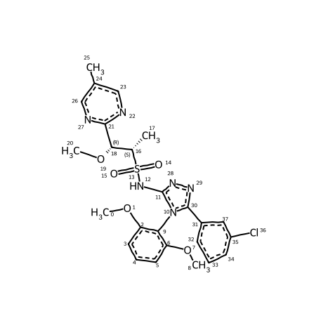 COc1cccc(OC)c1-n1c(NS(=O)(=O)[C@@H](C)[C@H](OC)c2ncc(C)cn2)nnc1-c1cccc(Cl)c1